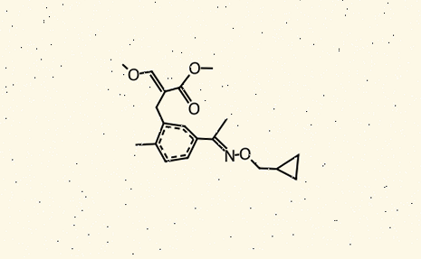 CO/C=C(\Cc1cc(/C(C)=N/OCC2CC2)ccc1C)C(=O)OC